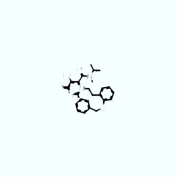 Cc1nc(=O)c(O)c2n1[C@@H]([C@H]1c3ccccc3CSc3ccccc31)CN(C(C)C)C2=O